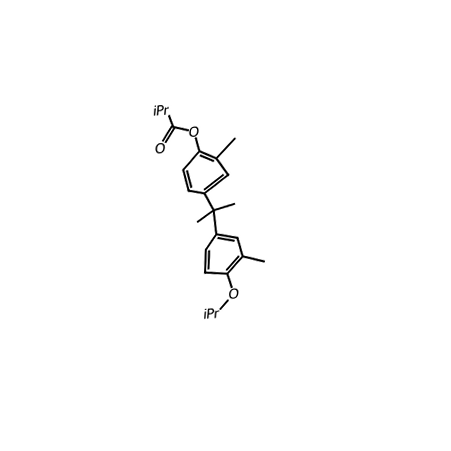 Cc1cc(C(C)(C)c2ccc(OC(C)C)c(C)c2)ccc1OC(=O)C(C)C